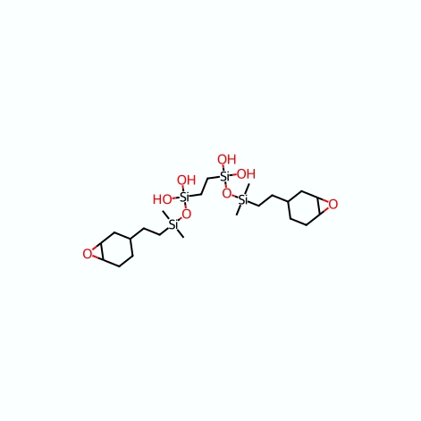 C[Si](C)(CCC1CCC2OC2C1)O[Si](O)(O)CC[Si](O)(O)O[Si](C)(C)CCC1CCC2OC2C1